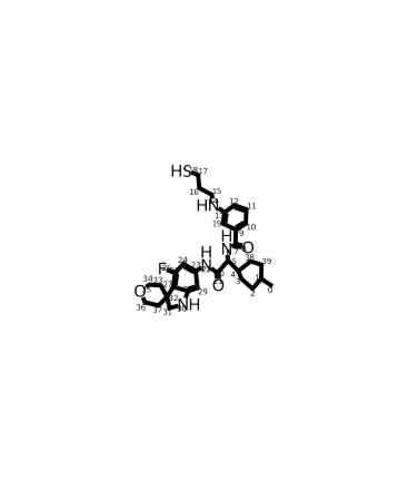 CC1CCC(C(NC(=O)c2cccc(NCCCS)c2)C(=O)Nc2cc(F)c3c(c2)NCC32CCOCC2)CC1